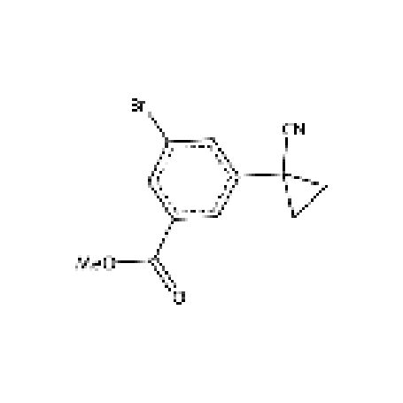 COC(=O)c1cc(Br)cc(C2(C#N)CC2)c1